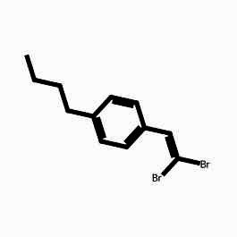 CCCCc1ccc(C=C(Br)Br)cc1